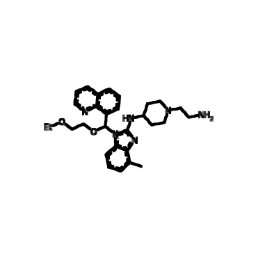 CCOCCOC(c1cccc2cccnc12)n1c(NC2CCN(CCN)CC2)nc2c(C)cccc21